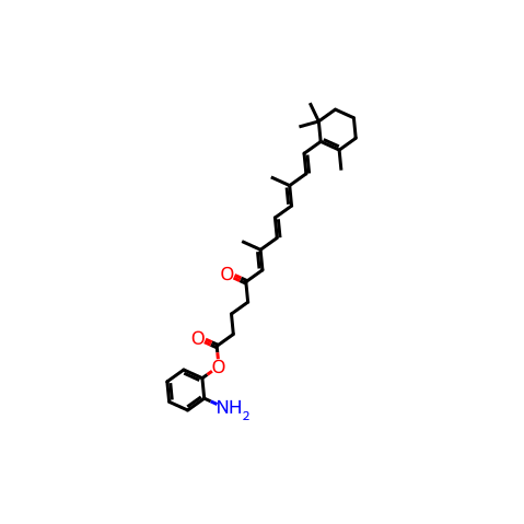 CC1=C(/C=C/C(C)=C/C=C/C(C)=C/C(=O)CCCC(=O)Oc2ccccc2N)C(C)(C)CCC1